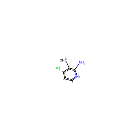 Cl.Nc1ncccc1C=O